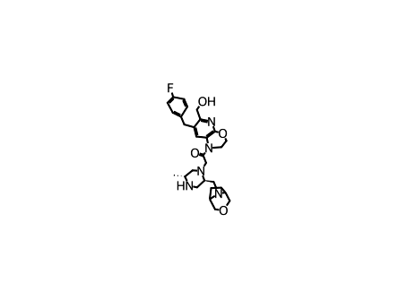 C[C@@H]1CN(CC(=O)N2CCOc3nc(CO)c(Cc4ccc(F)cc4)cc32)[C@@H](CN2C3CCC2COC3)CN1